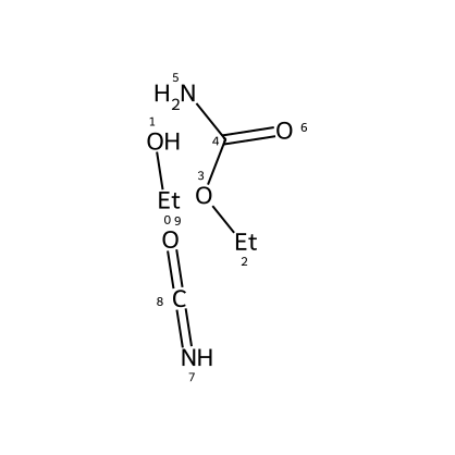 CCO.CCOC(N)=O.N=C=O